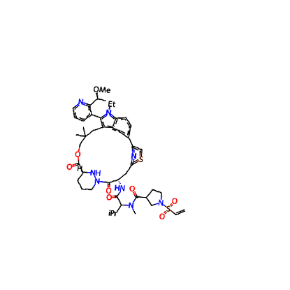 C=CS(=O)(=O)N1CC[C@H](C(=O)N(C)C(C(=O)N[C@H]2Cc3nc(cs3)-c3ccc4c(c3)c(c(-c3cccnc3[C@H](C)OC)n4CC)CC(C)(C)COC(=O)[C@@H]3CCCN(N3)C2=O)C(C)C)C1